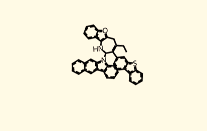 CCC1=C(c2ccc3c(c2)sc2ccccc23)C(n2c3ccccc3c3cc4ccccc4cc32)Nc2c(oc3ccccc23)C1